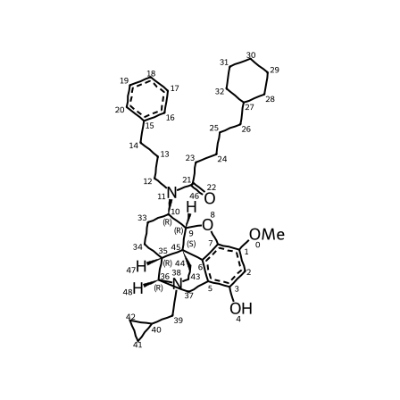 COc1cc(O)c2c3c1O[C@H]1[C@H](N(CCCc4ccccc4)C(=O)CCCCC4CCCCC4)CC[C@H]4[C@@H](C2)N(CC2CC2)CC[C@@]341